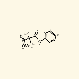 COC(=O)C(C(=O)Oc1ccccc1)(C(C)C)C(C)C